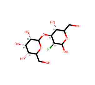 OCC1OC(O)[C@@H](Br)[C@@H](OC2OC(CO)[C@H](O)[C@H](O)[C@@H]2O)[C@@H]1O